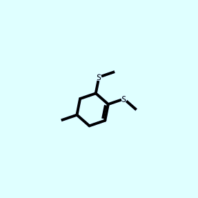 CSC1=CCC(C)CC1SC